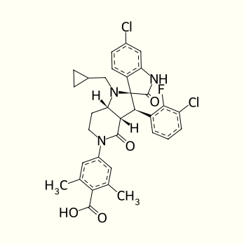 Cc1cc(N2CC[C@H]3[C@@H](C2=O)[C@H](c2cccc(Cl)c2F)[C@]2(C(=O)Nc4cc(Cl)ccc42)N3CC2CC2)cc(C)c1C(=O)O